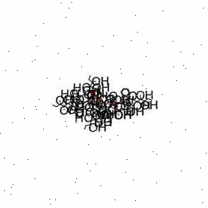 CC[C@@H](O)[C@H](O)[C@H](O)C(=O)NO[C@@]1(Cc2ccccc2)O[C@H](CO)[C@@H](O)[C@H](O)[C@@]1(O)N(C(=O)c1ccc(C(=O)N([C@]2(O)[C@@H](O)[C@H](O)[C@@H](CO)O[C@]2(Cc2ccccc2)ONC(=O)[C@@H](O)[C@@H](O)[C@H](O)CC)[C@]2(O)[C@@H](O)[C@H](O)[C@@H](CO)O[C@]2(Cc2ccccc2)ONC(=O)[C@@H](O)[C@@H](O)[C@H](O)CC)cc1)[C@]1(O)[C@@H](O)[C@H](O)[C@@H](CO)O[C@]1(Cc1ccccc1)ONC(=O)[C@@H](O)[C@@H](O)[C@H](O)CC